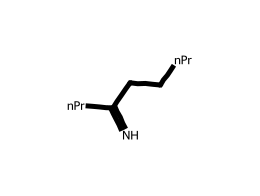 CCCCCC(=N)CCC